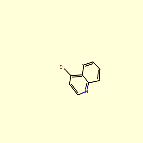 CCc1ccnc2ccc[c]c12